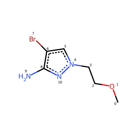 COCCn1cc(Br)c(N)n1